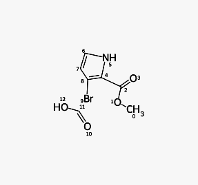 COC(=O)c1[nH]ccc1Br.O=CO